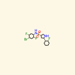 O=S(=O)(Nc1cc(F)c(Br)cc1F)c1c[nH]c(-c2ccccc2F)c1